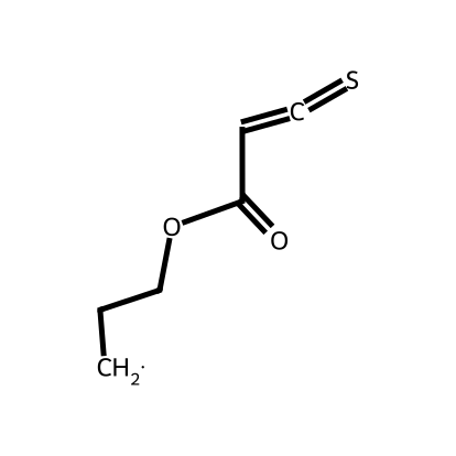 [CH2]CCOC(=O)C=C=S